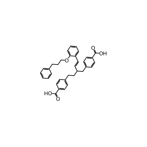 O=C(O)c1ccc(CCC(/C=C/c2ccccc2OCCCc2ccccc2)Cc2ccc(C(=O)O)cc2)cc1